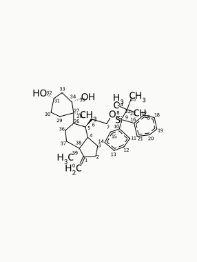 C=C1CCC2[C@H](CCO[Si](c3ccccc3)(c3ccccc3)C(C)(C)C)C([C@@]3(C)CC[C@H](O)C[C@@H]3O)CC[C@]12C